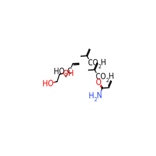 C=C(C)C(=O)O.C=C(C)C(=O)O.C=CC(=O)O.C=CC(N)=O.OCCO